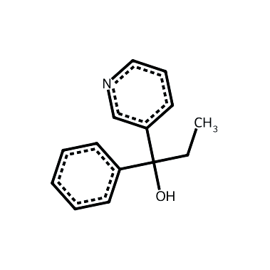 CCC(O)(c1ccccc1)c1cccnc1